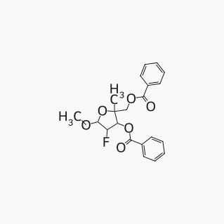 COC1OC(C)(COC(=O)c2ccccc2)C(OC(=O)c2ccccc2)C1F